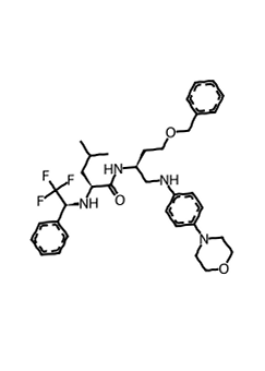 CC(C)C[C@H](N[C@@H](c1ccccc1)C(F)(F)F)C(=O)N[C@@H](CCOCc1ccccc1)CNc1ccc(N2CCOCC2)cc1